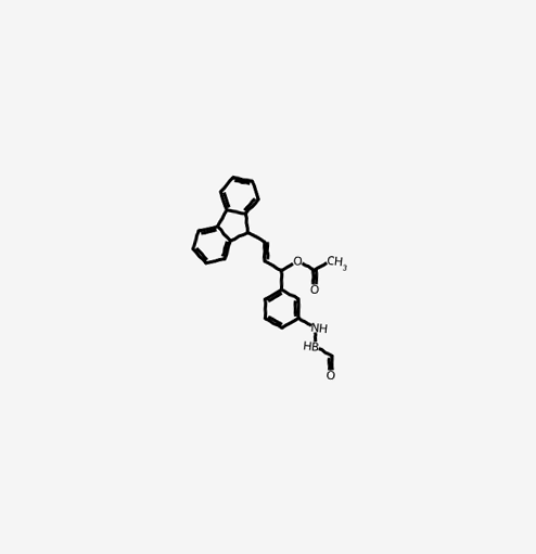 CC(=O)OC(/C=C/C1c2ccccc2-c2ccccc21)c1cccc(NBC=O)c1